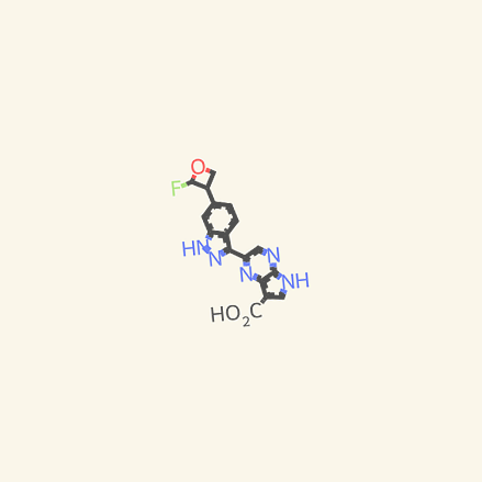 O=C(O)c1c[nH]c2ncc(-c3n[nH]c4cc(C5COC5F)ccc34)nc12